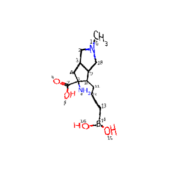 CN1CC2CC(N)(C(=O)O)C(CCCB(O)O)C2C1